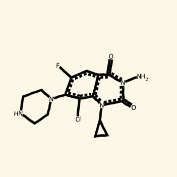 Nn1c(=O)c2cc(F)c(N3CCNCC3)c(Cl)c2n(C2CC2)c1=O